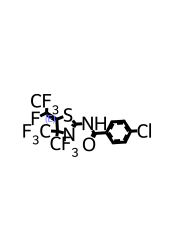 O=C(NC1=NC(C(F)(F)F)(C(F)(F)F)/C(=C(\F)C(F)(F)F)S1)c1ccc(Cl)cc1